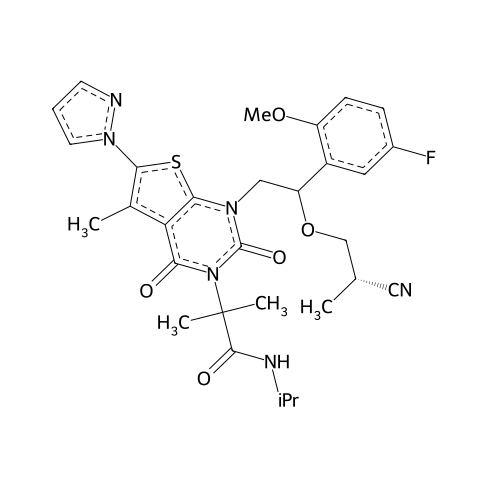 COc1ccc(F)cc1C(Cn1c(=O)n(C(C)(C)C(=O)NC(C)C)c(=O)c2c(C)c(-n3cccn3)sc21)OC[C@@H](C)C#N